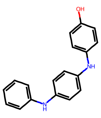 Oc1ccc(Nc2ccc(Nc3ccccc3)cc2)cc1